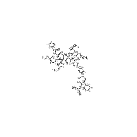 Cc1ccc(C2(c3ccc(C)s3)c3cc(-c4cccs4)sc3-c3sc4c5c(sc4c32)-c2sc(-c3ccc(CC/C=C4\C(=O)c6ccccc6C4=C(C#N)C#N)s3)cc2C5(c2ccc(C)s2)c2ccc(C)s2)s1